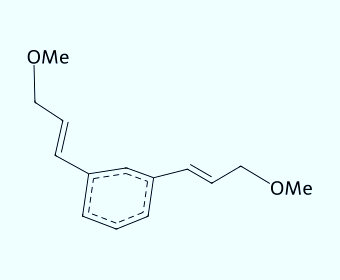 COCC=Cc1cccc(C=CCOC)c1